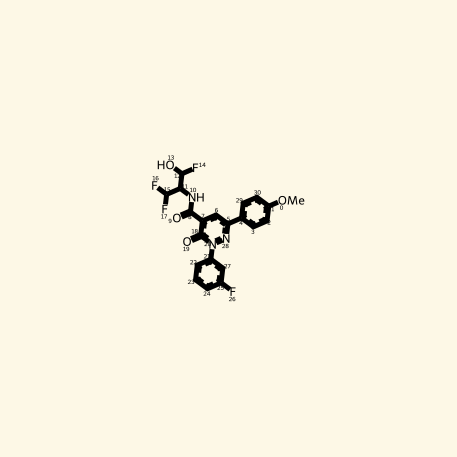 COc1ccc(-c2cc(C(=O)NC(C(O)F)C(F)F)c(=O)n(-c3cccc(F)c3)n2)cc1